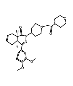 COc1ccc(C2=NN(C3CCN(CC(=O)N4CCOCC4)CC3)C(=O)[C@@H]3CC=CC[C@H]23)cc1OC